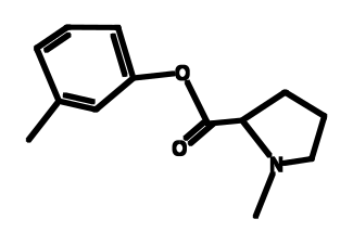 Cc1cccc(OC(=O)C2CCCN2C)c1